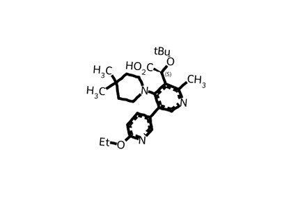 CCOc1ccc(-c2cnc(C)c([C@H](OC(C)(C)C)C(=O)O)c2N2CCC(C)(C)CC2)cn1